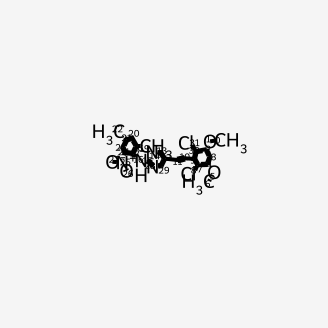 COc1cc(OC)c(Cl)c(C#Cc2cnc(Nc3c(C)cc(C)cc3[N+](=O)[O-])nc2)c1Cl